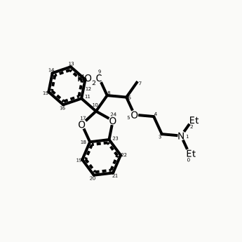 CCN(CC)CCOC(C)C(C(=O)O)C1(c2ccccc2)Oc2ccccc2O1